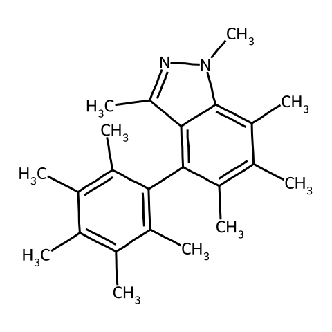 Cc1c(C)c(C)c(-c2c(C)c(C)c(C)c3c2c(C)nn3C)c(C)c1C